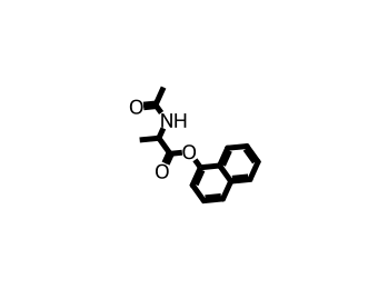 CC(=O)NC(C)C(=O)Oc1cccc2ccccc12